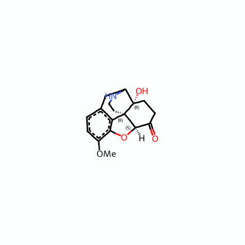 COc1ccc2c3c1O[C@@H]1C(=O)CC[C@]4(O)C(C2)NCC[C@@]314